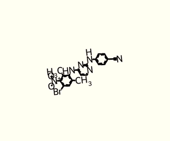 Cc1cc(Br)c([N+](=O)[O-])c(C)c1Nc1ccnc(Nc2ccc(C#N)cc2)n1